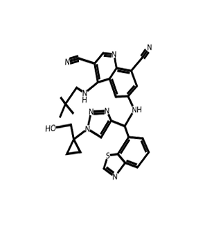 CC(C)(C)CNc1c(C#N)cnc2c(C#N)cc(NC(c3cn(C4(CO)CC4)nn3)c3cccc4ncsc34)cc12